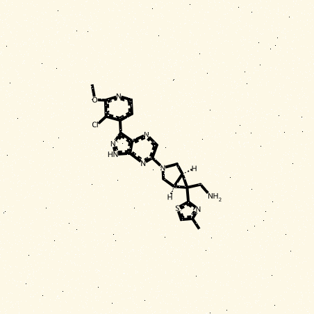 COc1nccc(-c2n[nH]c3nc(N4C[C@@H]5[C@H](C4)C5(CN)c4nc(C)cs4)cnc23)c1Cl